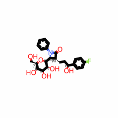 O=C1[C@H](CC[C@H](O)c2ccc(F)cc2)[C@@H]([C@@H]2O[C@H](CO)[C@@H](O)[C@H](O)[C@H]2O)N1c1ccccc1